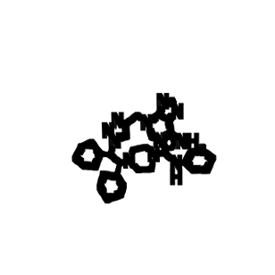 Nc1ncn(Cc2cn([C@H](c3ccccc3)[C@H](c3ccccc3)N3CCN(C(=O)Nc4ccccc4)CC3)nn2)c2ncnc1-2